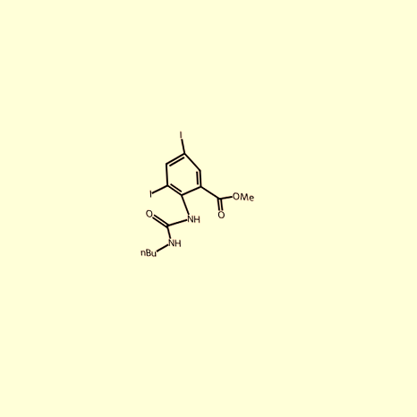 CCCCNC(=O)Nc1c(I)cc(I)cc1C(=O)OC